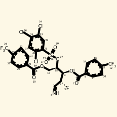 N=C[C@@H](F)[C@H](OC(=O)c1ccc(C(F)(F)F)cc1)[C@@H](COC(=O)c1ccc(C(F)(F)F)cc1)OS(=O)(=O)c1cc(Cl)c(Cl)cc1Cl